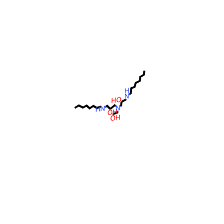 CCCCCCCCNCC(O)CN(CCO)CC(O)CNCCCCCCCC